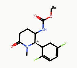 CN1C(=O)CCC(NC(=O)OC(C)(C)C)[C@H]1C1CC(F)=CC=C1F